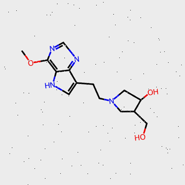 COc1ncnc2c(CCN3CC(O)C(CO)C3)c[nH]c12